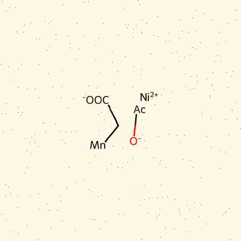 CC(=O)[O-].O=C([O-])[CH2][Mn].[Ni+2]